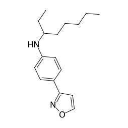 CCCCCC(CC)Nc1ccc(-c2ccon2)cc1